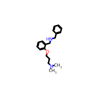 CN(C)CCCOc1ccccc1CNCc1ccccc1